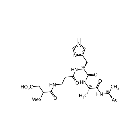 CSC(CC(=O)O)C(=O)NCCC(=O)N[C@@H](Cc1c[nH]cn1)C(=O)N[C@@H](C)C(=O)N[C@@H](C)C(C)=O